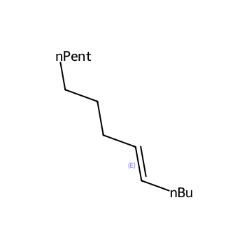 CCCC/C=C/CCCCCCCC